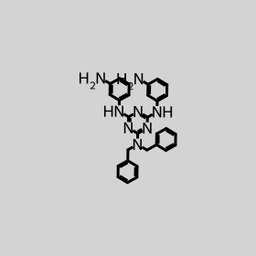 Nc1cccc(Nc2nc(Nc3cccc(N)c3)nc(N(Cc3ccccc3)Cc3ccccc3)n2)c1